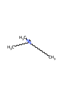 CCCCCCCCCCCCCCCCCN1C=CN(CCC)C1CCCCCCCCCCC